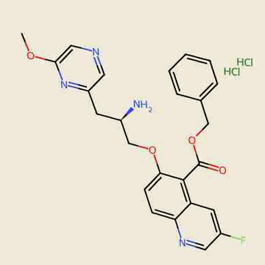 COc1cncc(C[C@@H](N)COc2ccc3ncc(F)cc3c2C(=O)OCc2ccccc2)n1.Cl.Cl